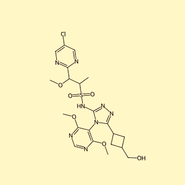 COc1ncnc(OC)c1-n1c(NS(=O)(=O)C(C)C(OC)c2ncc(Cl)cn2)nnc1C1CC(CO)C1